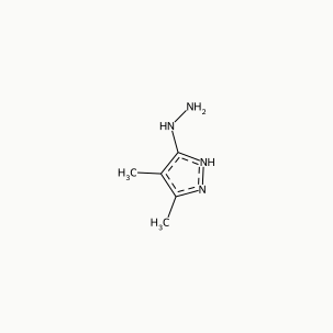 Cc1n[nH]c(NN)c1C